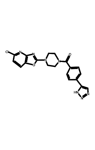 O=C(c1ccc(-c2cnn[nH]2)cc1)N1CCN(c2nc3nc(Cl)ccc3o2)CC1